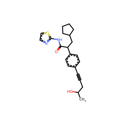 CC(O)CC#Cc1ccc(C(CC2CCCC2)C(=O)Nc2nccs2)cc1